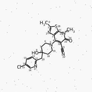 Cc1nc2c(N3CCC(O)(Cc4ccc(Cl)cn4)CC3)c(C#N)c(=O)n(C)c2s1